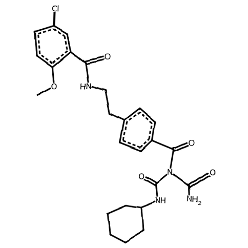 COc1ccc(Cl)cc1C(=O)NCCc1ccc(C(=O)N(C(N)=O)C(=O)NC2CCCCC2)cc1